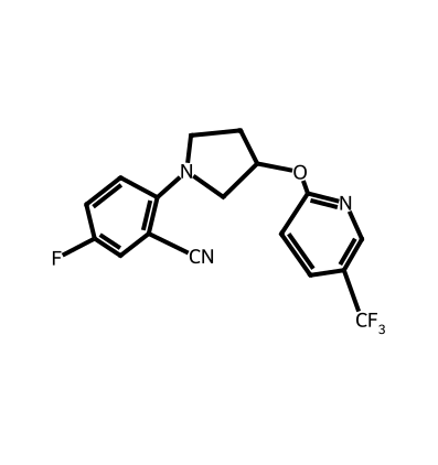 N#Cc1cc(F)ccc1N1CCC(Oc2ccc(C(F)(F)F)cn2)C1